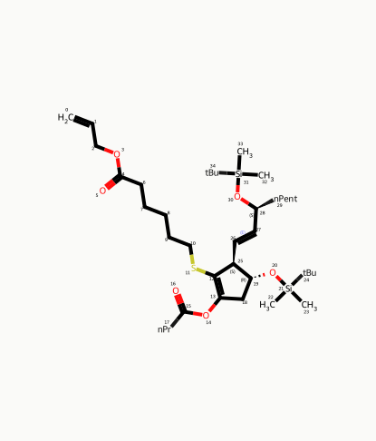 C=CCOC(=O)CCCCCSC1=C(OC(=O)CCC)C[C@@H](O[Si](C)(C)C(C)(C)C)[C@@H]1/C=C/[C@H](CCCCC)O[Si](C)(C)C(C)(C)C